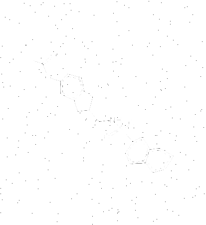 CC(=O)Oc1ccc2c(c1)CC(CNS(=O)(=O)c1ccc3ccccc3c1)C2